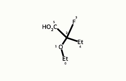 CCOC(F)(CC)C(=O)O